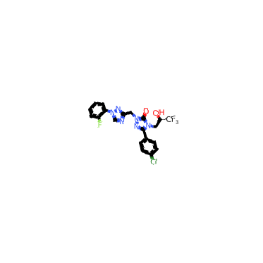 O=c1n(Cc2ncn(-c3ccccc3F)n2)nc(-c2ccc(Cl)cc2)n1C[C@H](O)C(F)(F)F